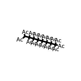 CC(=O)[C](C(C)=O)C(C(C)=O)(C(C)=O)C(C(C)=O)(C(C)=O)C(C(C)=O)(C(C)=O)C(C(C)=O)(C(C)=O)C(C(C)=O)(C(C)=O)C(C(C)=O)(C(C)=O)C(C(C)=O)(C(C)=O)C(C)=O